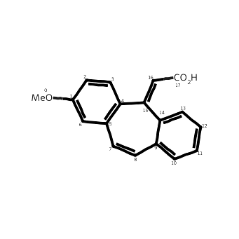 COc1ccc2c(c1)C=Cc1ccccc1C2=CC(=O)O